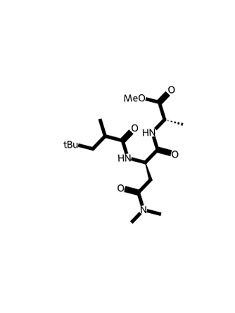 COC(=O)[C@H](C)NC(=O)[C@@H](CC(=O)N(C)C)NC(=O)C(C)CC(C)(C)C